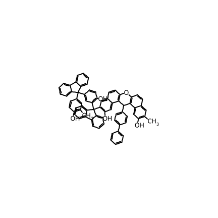 Cc1cc(C2(c3ccc(O)c(C4(c5cc6ccc7c(c6cc5O)C(c5ccc(-c6ccccc6)cc5)c5c(ccc6cc(C)c(O)cc56)O7)c5ccccc5-c5ccccc54)c3)c3ccccc3-c3ccccc32)ccc1O